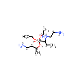 CCO[Si](OCC)(OC(C)CCN)C(CC)NCCN